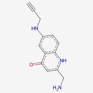 C#CCNc1ccc2[nH]c(CN)cc(=O)c2c1